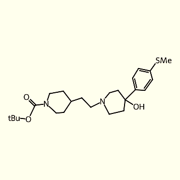 CSc1ccc(C2(O)CCN(CCC3CCN(C(=O)OC(C)(C)C)CC3)CC2)cc1